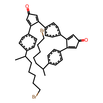 CC(CCCCCBr)c1ccc(C2=CC(=O)C=C2c2ccc(C3=CC(=O)C=C3c3ccc(C(C)CCCCCBr)cc3)cc2)cc1